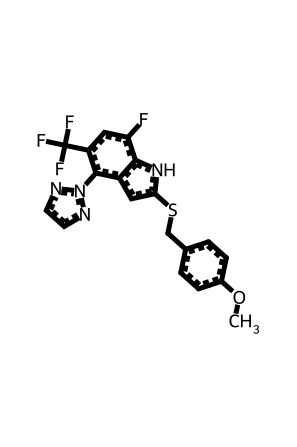 COc1ccc(CSc2cc3c(-n4nccn4)c(C(F)(F)F)cc(F)c3[nH]2)cc1